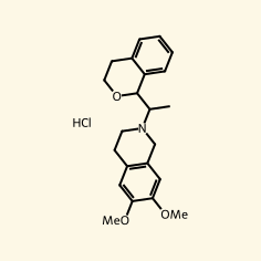 COc1cc2c(cc1OC)CN(C(C)C1OCCc3ccccc31)CC2.Cl